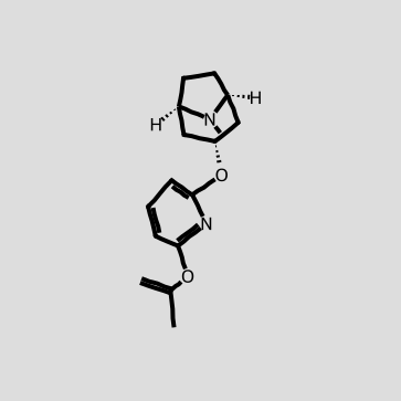 C=C(C)Oc1cccc(O[C@@H]2C[C@H]3CC[C@@H](C2)N3C)n1